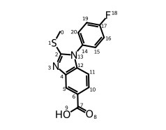 CSc1nc2cc(C(=O)O)ccc2n1-c1ccc(F)cc1